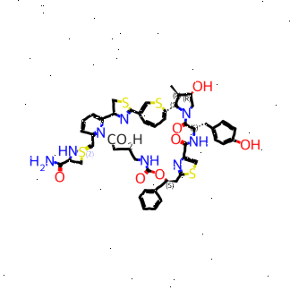 C[C@@H]1[C@@H](C2=CC=CC(C3=NC(c4cccc(/C=S5/CC(C(N)=O)N5)n4)CS3)=CS2)N(C(=O)[C@H](Cc2ccc(O)cc2)NC(=O)c2csc(C[C@H](OC(=O)NCCCC(=O)O)c3ccccc3)n2)C[C@@H]1O